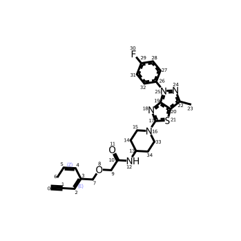 C#C/C=C(\C=C/C)COCC(=O)NC1CCN(c2nc3c(s2)c(C)nn3-c2ccc(F)cc2)CC1